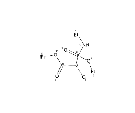 CCNP(=O)(OCC)C(Cl)C(=O)OC(C)C